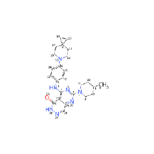 CC1CCN(c2nc(Nc3ccc(N4CCC5(CC4)CC5)cc3)c3c(=O)[nH]ncc3n2)CC1